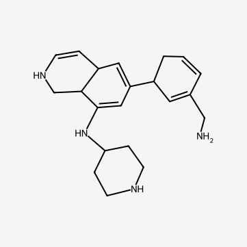 NCC1=CC(C2=CC3C=CNCC3C(NC3CCNCC3)=C2)CC=C1